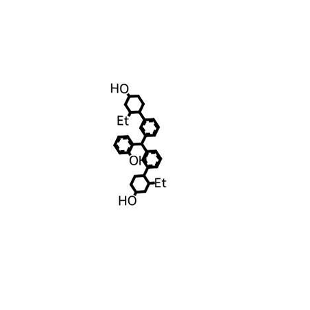 CCC1CC(O)CCC1c1cccc(C(c2cccc(C3CCC(O)CC3CC)c2)c2ccccc2O)c1